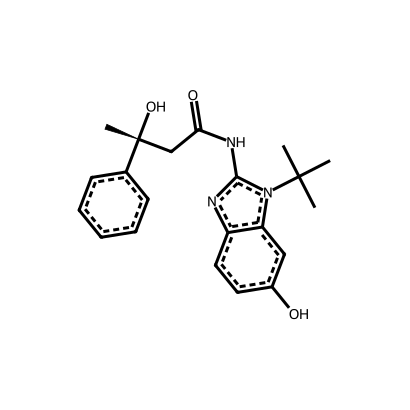 CC(C)(C)n1c(NC(=O)C[C@@](C)(O)c2ccccc2)nc2ccc(O)cc21